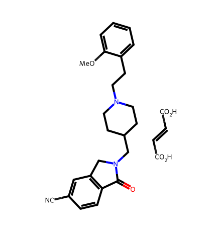 COc1ccccc1CCN1CCC(CN2Cc3cc(C#N)ccc3C2=O)CC1.O=C(O)C=CC(=O)O